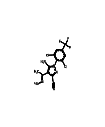 CC(=NO)c1c(C#N)nn(-c2c(Cl)cc(C(F)(F)F)cc2Cl)c1N